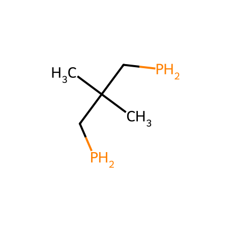 CC(C)(CP)CP